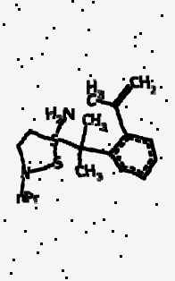 C=C(C)c1ccccc1C(C)(C)S1(N)CCN(CCC)S1